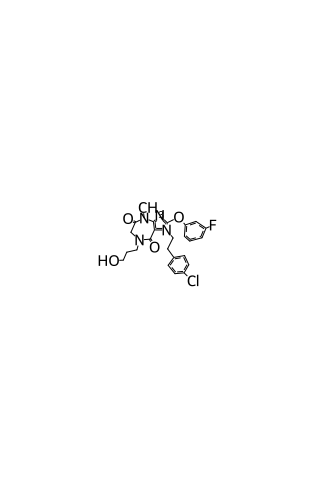 CN1C(=O)CN(CCCO)C(=O)c2c1nc(Oc1cccc(F)c1)n2CCc1ccc(Cl)cc1